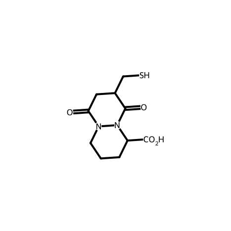 O=C(O)C1CCCN2C(=O)CC(CS)C(=O)N12